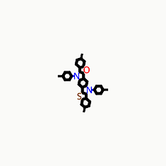 Cc1ccc(-n2c3cc4c5sc6cc(C)ccc6c5n(-c5ccc(C)cc5)c4cc3c3oc4cc(C)ccc4c32)cc1